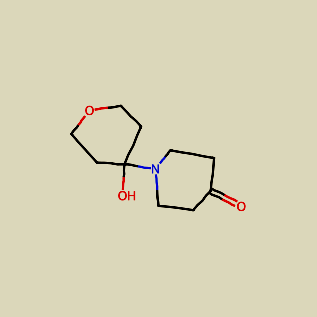 O=C1CCN(C2(O)CCOCC2)CC1